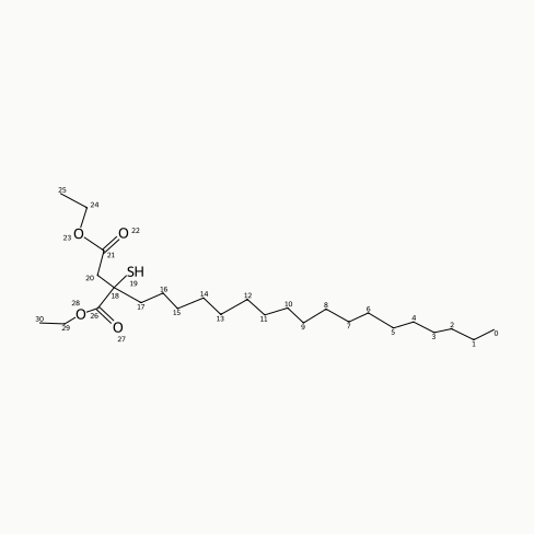 CCCCCCCCCCCCCCCCCCC(S)(CC(=O)OCC)C(=O)OCC